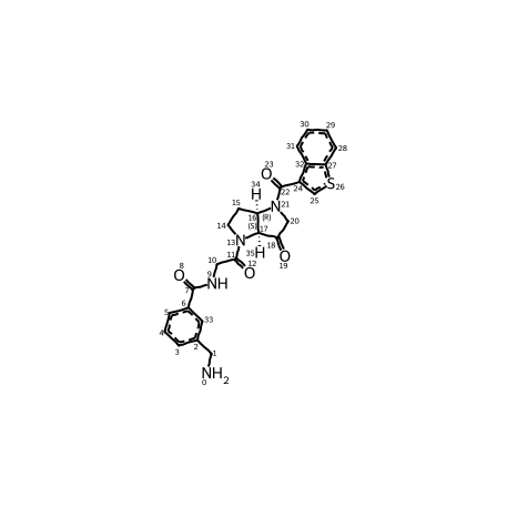 NCc1cccc(C(=O)NCC(=O)N2CC[C@@H]3[C@H]2C(=O)CN3C(=O)c2csc3ccccc23)c1